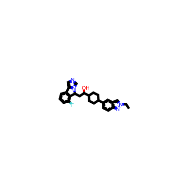 CCn1cc2cc(C3CCC(C(O)CC4c5c(F)cccc5-c5cncn54)CC3)ccc2n1